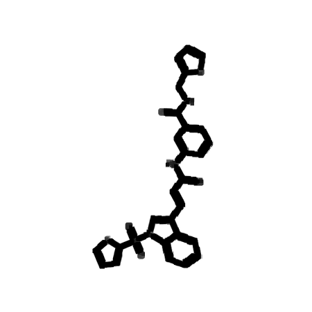 O=C(C=Cc1cn(S(=O)(=O)c2cccs2)c2ccccc12)Nc1cccc(C(=O)NCc2ccco2)c1